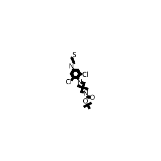 CC(C)(C)OC(=O)N1CC2(C1)CN(c1c(Cl)cc(N=CC=S)cc1Cl)C2